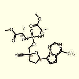 COC(=O)[C@H](C)NP(=O)(N[C@@H](C)C(=O)OC)OC[C@]1(C#N)CC[C@H](c2ccc3c(N)ncnn23)O1